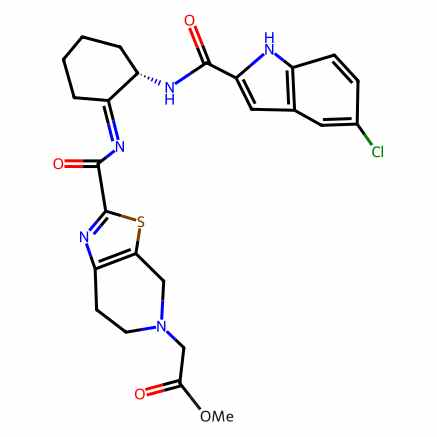 COC(=O)CN1CCc2nc(C(=O)/N=C3\CCCC[C@@H]3NC(=O)c3cc4cc(Cl)ccc4[nH]3)sc2C1